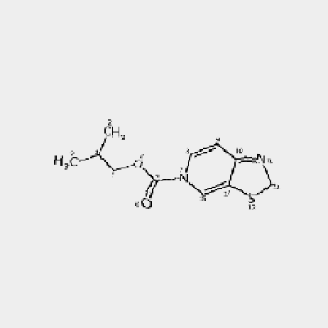 CC(C)COC(=O)N1C=CC2=NCSC2=C1